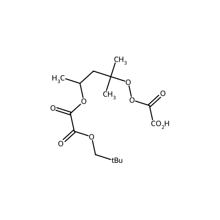 CC(CC(C)(C)OOC(=O)C(=O)O)OC(=O)C(=O)OCC(C)(C)C